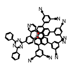 N#Cc1cc(C#N)cc(-c2ccc3c(c2)c2cc(-c4cc(C#N)cc(C#N)c4)ccc2n3-c2ccncc2-c2cc(-c3nc(-c4ccccc4)nc(-c4ccccc4)n3)ccc2-n2c3ccc(-c4cc(C#N)cc(C#N)c4)cc3c3cc(-c4cc(C#N)cc(C#N)c4)ccc32)c1